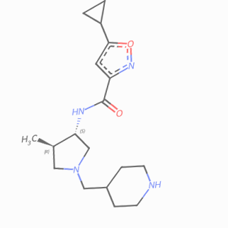 C[C@@H]1CN(CC2CCNCC2)C[C@H]1NC(=O)c1cc(C2CC2)on1